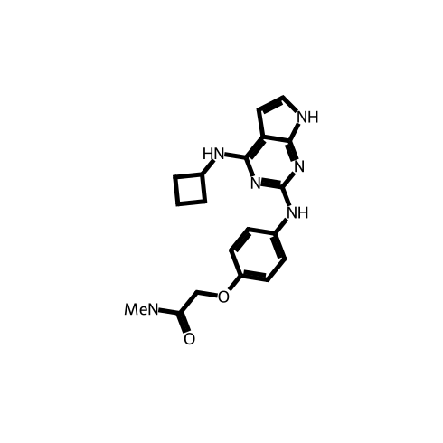 CNC(=O)COc1ccc(Nc2nc(NC3CCC3)c3cc[nH]c3n2)cc1